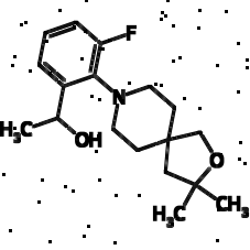 CC(O)c1cccc(F)c1N1CCC2(CC1)COC(C)(C)C2